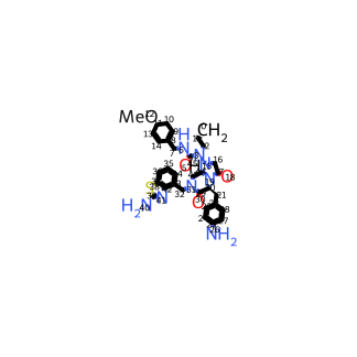 C=CCN(C(=O)NCC1=CCC(OC)C=C1)N1CC(=O)N2[C@@H](Cc3ccc(N)cc3)C(=O)N(Cc3cccc4sc(N)nc34)C[C@@H]21